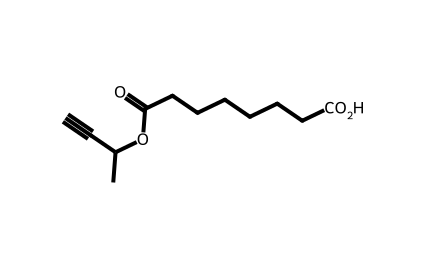 C#CC(C)OC(=O)CCCCCCC(=O)O